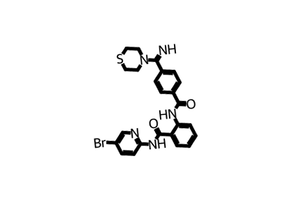 N=C(c1ccc(C(=O)Nc2ccccc2C(=O)Nc2ccc(Br)cn2)cc1)N1CCSCC1